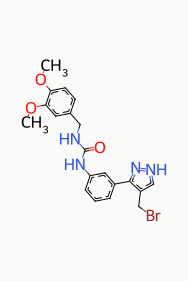 COc1ccc(CNC(=O)Nc2cccc(-c3n[nH]cc3CBr)c2)cc1OC